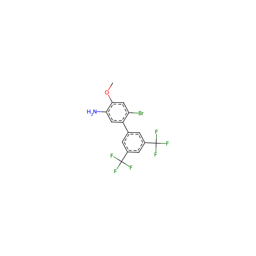 COc1cc(Br)c(-c2cc(C(F)(F)F)cc(C(F)(F)F)c2)cc1N